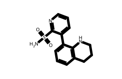 NS(=O)(=O)c1ncccc1-c1cccc2c1NCCC2